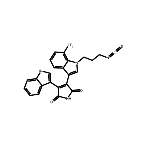 O=C1NC(=O)C(c2cn(CCCN=C=S)c3c(C(F)(F)F)cccc23)=C1c1c[nH]c2ccccc12